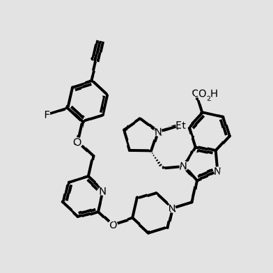 C#Cc1ccc(OCc2cccc(OC3CCN(Cc4nc5ccc(C(=O)O)cc5n4C[C@@H]4CCCN4CC)CC3)n2)c(F)c1